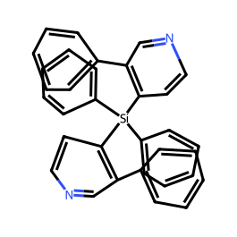 c1ccc(-c2cnccc2[Si](c2ccccc2)(c2ccccc2)c2ccncc2-c2ccccc2)cc1